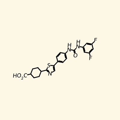 O=C(Nc1ccc(-c2cnc(C3CCC(C(=O)O)CC3)s2)cc1)Nc1cc(F)cc(F)c1